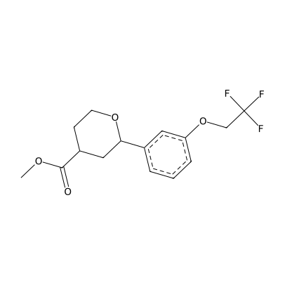 COC(=O)C1CCOC(c2cccc(OCC(F)(F)F)c2)C1